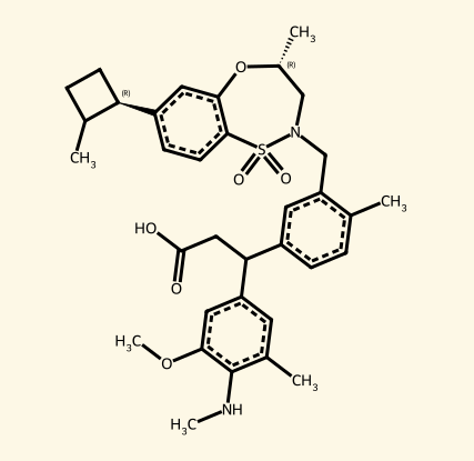 CNc1c(C)cc(C(CC(=O)O)c2ccc(C)c(CN3C[C@@H](C)Oc4cc([C@@H]5CCC5C)ccc4S3(=O)=O)c2)cc1OC